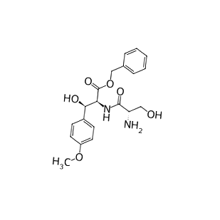 COc1ccc([C@@H](O)[C@H](NC(=O)[C@@H](N)CO)C(=O)OCc2ccccc2)cc1